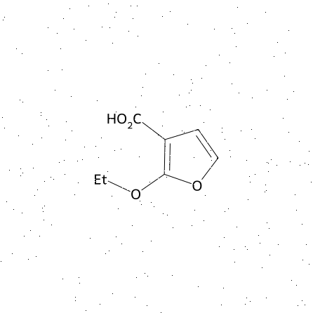 CCOc1occc1C(=O)O